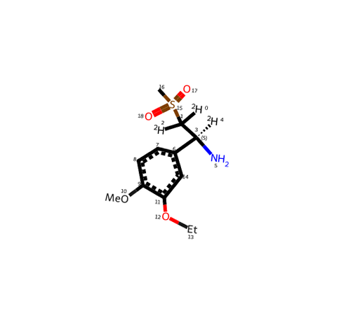 [2H]C([2H])([C@@]([2H])(N)c1ccc(OC)c(OCC)c1)S(C)(=O)=O